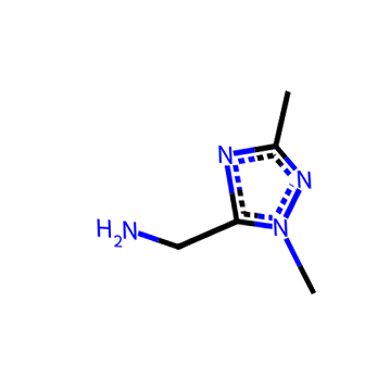 Cc1nc(CN)n(C)n1